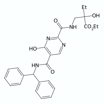 CCOC(=O)C(O)(CC)CNC(=O)c1ncc(C(=O)NC(c2ccccc2)c2ccccc2)c(O)n1